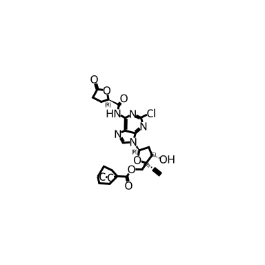 C#C[C@]1(COC(=O)C23CCC(CC2)CC3)O[C@@H](n2cnc3c(NC(=O)[C@H]4CCC(=O)O4)nc(Cl)nc32)C[C@@H]1O